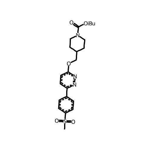 CC(C)COC(=O)N1CCC(COc2ccc(-c3ccc(S(C)(=O)=O)cc3)nn2)CC1